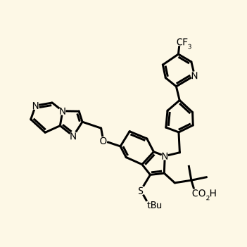 CC(C)(C)Sc1c(CC(C)(C)C(=O)O)n(Cc2ccc(-c3ccc(C(F)(F)F)cn3)cc2)c2ccc(OCc3cn4cnccc4n3)cc12